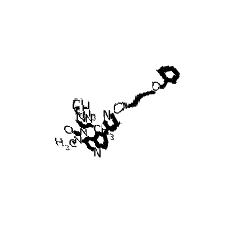 Cc1nn(C)cc1-n1c(=O)n(C)c2cnc3ccc(-c4ccc(OCCCOCc5ccccc5)nc4)cc3c21